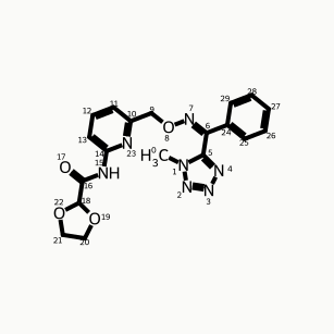 Cn1nnnc1/C(=N\OCc1cccc(NC(=O)C2OCCO2)n1)c1ccccc1